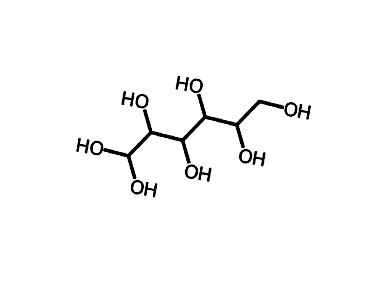 OCC(O)C(O)C(O)C(O)C(O)O